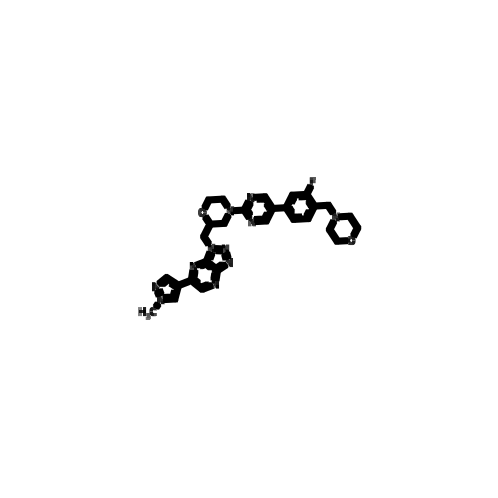 Cn1cc(-c2cnc3nnn(CC4CN(c5ncc(-c6ccc(CN7CCOCC7)c(F)c6)cn5)CCO4)c3n2)cn1